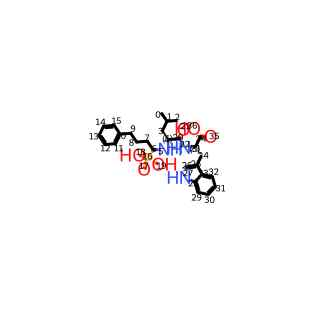 CC(C)C[C@H](NC(CCCc1ccccc1)P(=O)(O)O)C(=O)N[C@@H](Cc1c[nH]c2ccccc12)C(=O)O